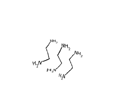 NCCN.NCCN.NCCN